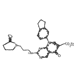 CCOC(=O)c1cn(-c2ccc3c(c2)CCC3)c2nc(NCCCN3CCCC3=O)ncc2c1=O